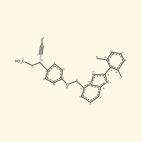 CC#C[C@@H](CC(=O)O)c1ccc(OCc2cccc3nc(-c4c(C)cccc4C)nn23)cc1